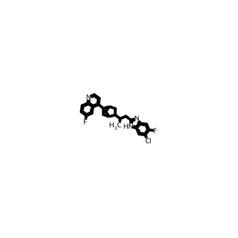 CC(Cc1nc2cc(F)c(Cl)cc2[nH]1)C1CC2CC1CC2c1ccnc2ccc(F)cc12